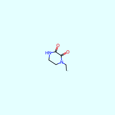 [CH2]CN1CCNC(=O)C1=O